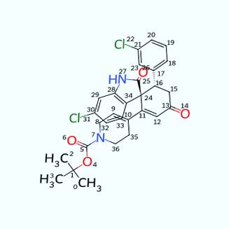 CC(C)(C)OC(=O)N1CC=C(C2=CC(=O)C[C@@H](c3cccc(Cl)c3)[C@]23C(=O)Nc2cc(Cl)ccc23)CC1